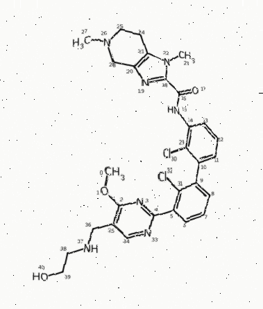 COc1nc(-c2cccc(-c3cccc(NC(=O)c4nc5c(n4C)CCN(C)C5)c3Cl)c2Cl)ncc1CNCCO